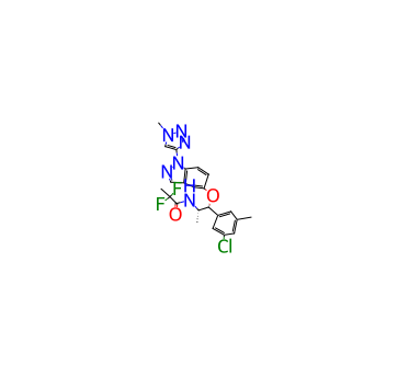 Cc1cc(Cl)cc([C@@H](Oc2ccc3c(cnn3-c3cn(C)nn3)c2)[C@H](C)NC(=O)C(C)(F)F)c1